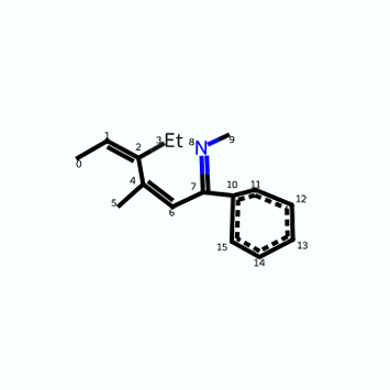 C\C=C(CC)/C(C)=C\C(=N\C)c1ccccc1